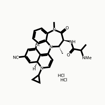 CNC(C)C(=O)N[C@@H]1C(=O)N(C)c2ccccc2N(C2=C3C(C(C)=O)=CC(C#N)=C[C@@H]3N(C3CC3)C=C2)[C@H]1C.Cl.Cl